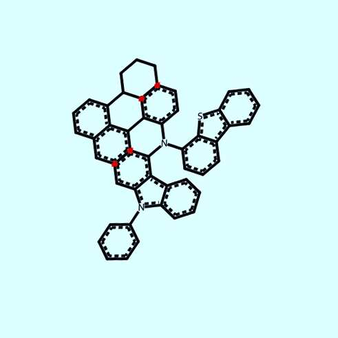 c1ccc(-n2c3ccccc3c3c(N(c4ccccc4-c4cccc5cccc(C6CCCCC6)c45)c4cccc5c4sc4ccccc45)cccc32)cc1